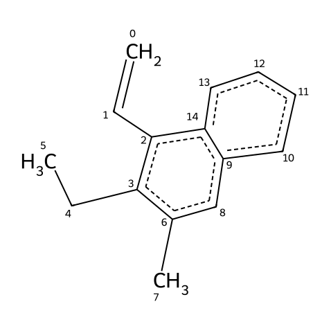 C=Cc1c(CC)c(C)cc2ccccc12